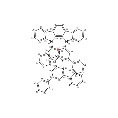 c1ccc(-c2cc(-c3ccccc3)cc(-n3c4ccccc4c4ccc5c6ccccc6n(-c6ccc(-c7cc(-c8ccccc8)cc(-c8ccccc8)n7)cc6)c5c43)c2)cc1